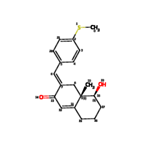 CSc1ccc(C=C2C[C@@]3(C)C(=CC2=O)CCC[C@@H]3O)cc1